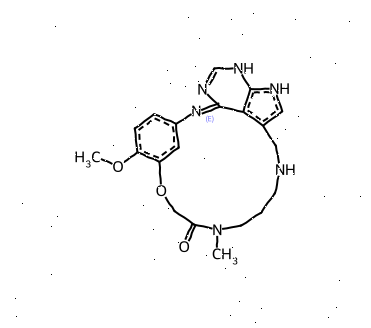 COc1ccc2cc1OCC(=O)N(C)CCCNCc1c[nH]c3c1/C(=N\2)N=CN3